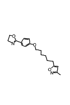 Cc1cc(CCCCCCOc2ccc(C3=NCCO3)cc2)on1